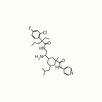 CCCC(CC)(C(=O)NCC(N)C1CC(CC(C)C)CC(C)(C(=O)Nc2ccncc2)C1)c1ccc(F)cc1Cl